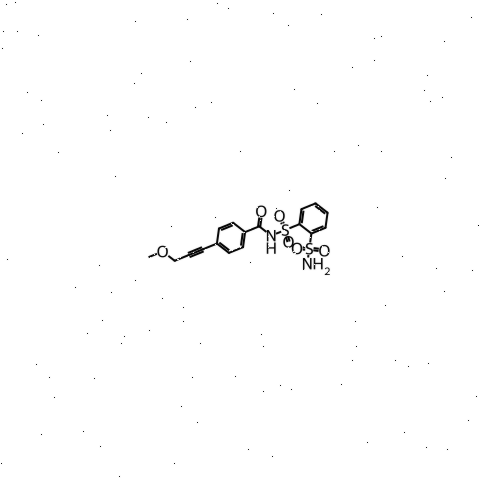 COCC#Cc1ccc(C(=O)NS(=O)(=O)c2ccccc2S(N)(=O)=O)cc1